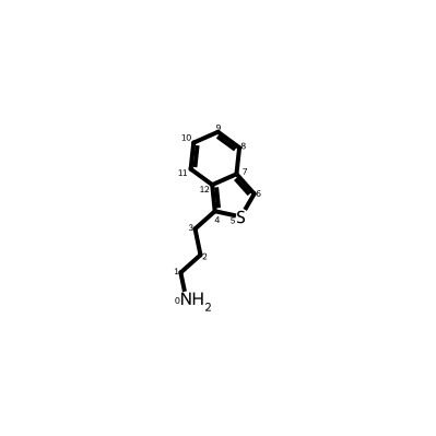 NCCCc1scc2ccccc12